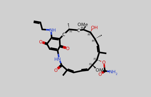 C=CCNC1=C2C[C@H](C)C[C@@H](OC)[C@H](O)[C@H](C)C=C(C)[C@H](OC(N)=O)[C@@H](OC)C=CC=C(C)C(=O)NC(=CC1=O)C2=O